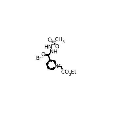 CCOC(=O)C[n+]1cccc(C(=O)NNS(C)(=O)=O)c1.[Br-]